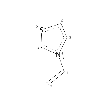 C=C[n+]1ccsc1